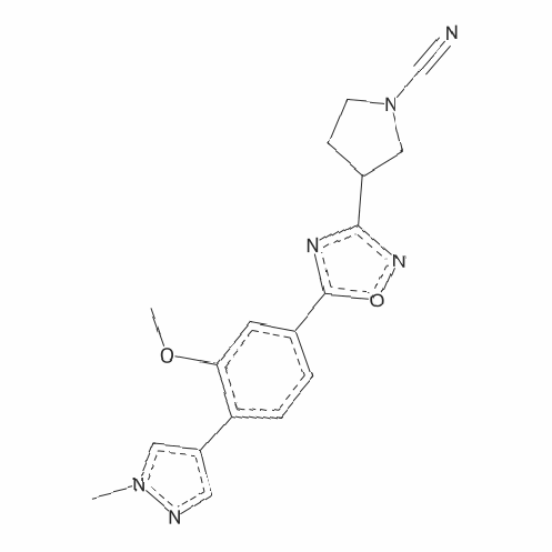 COc1cc(-c2nc(C3CCN(C#N)C3)no2)ccc1-c1cnn(C)c1